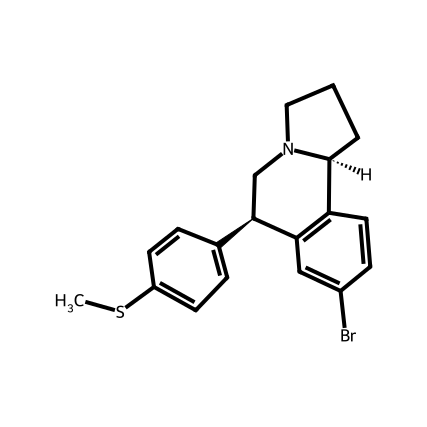 CSc1ccc([C@H]2CN3CCC[C@H]3c3ccc(Br)cc32)cc1